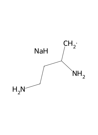 [CH2]C(N)CCN.[NaH]